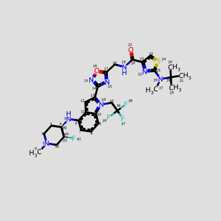 CN1CC[C@@H](Nc2cccc3c2cc(-c2noc(CNC(=O)c4csc(N(C)C(C)(C)C)n4)n2)n3CC(F)(F)F)[C@@H](F)C1